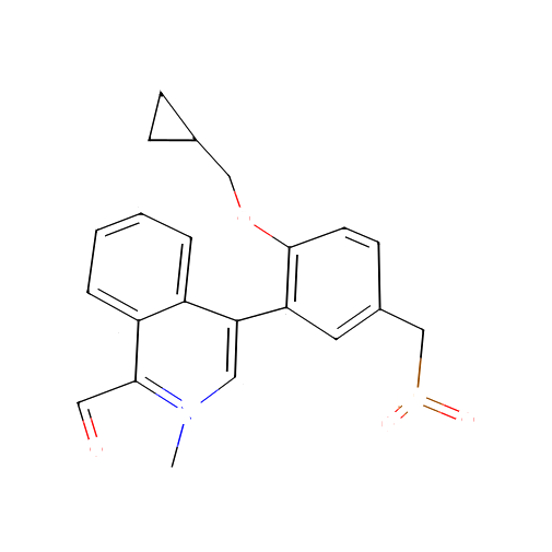 C[n+]1cc(-c2cc(C[SH](=O)=O)ccc2OCC2CC2)c2ccccc2c1C=O